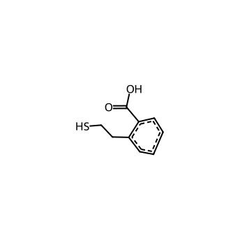 O=C(O)c1ccccc1CCS